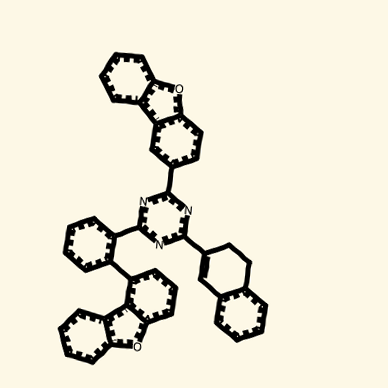 C1=C(c2nc(-c3ccc4oc5ccccc5c4c3)nc(-c3ccccc3-c3cccc4oc5ccccc5c34)n2)CCc2ccccc21